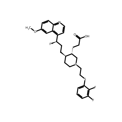 COc1ccc2nccc([C@H](F)CC[C@@H]3CCN(CCSc4cccc(F)c4F)C[C@H]3CCC(=O)O)c2c1